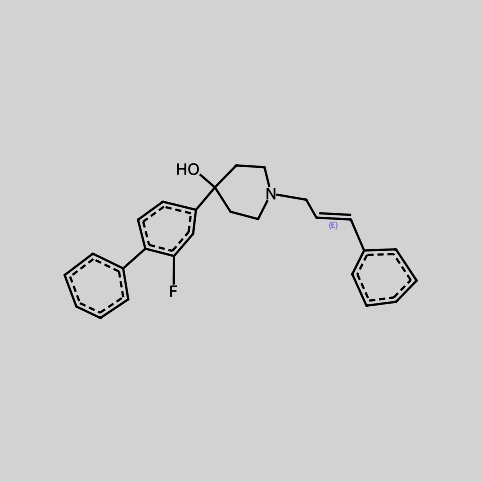 OC1(c2ccc(-c3ccccc3)c(F)c2)CCN(C/C=C/c2ccccc2)CC1